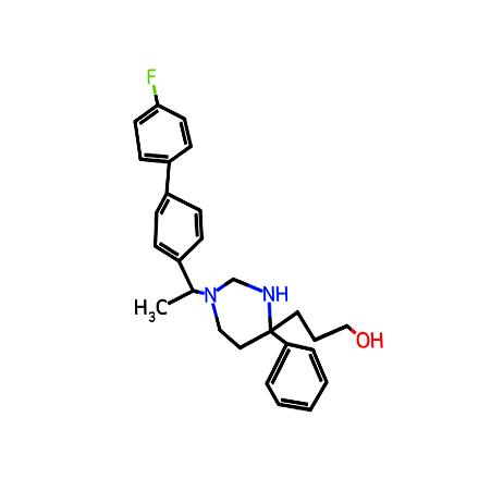 CC(c1ccc(-c2ccc(F)cc2)cc1)N1CCC(CCCO)(c2ccccc2)NC1